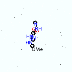 COc1ccc(Nc2ccnc(Nc3ccc(S(=O)(=O)NCCN4CCCC4)cc3)n2)cc1